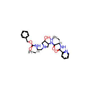 CC(C)C[C@@H](CN1CC(O)C(NC(=O)[C@H](CC(C)C)NC(=O)c2ccccn2)C1)NC(=O)OCc1ccccc1